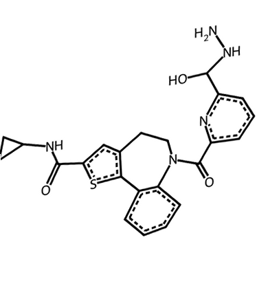 NNC(O)c1cccc(C(=O)N2CCc3cc(C(=O)NC4CC4)sc3-c3ccccc32)n1